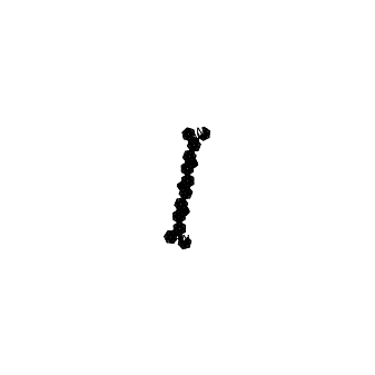 CC1(C)c2cc(-c3ccc4c(c3)C(C)(C)c3cc(-c5ccc6c(c5)c5ccccc5n6-c5ccccn5)ccc3-4)ccc2-c2ccc(-c3ccc4c(c3)C(C)(C)c3cc(-c5ccc6c(c5)c5ccccc5n6-c5ccccn5)ccc3-4)cc21